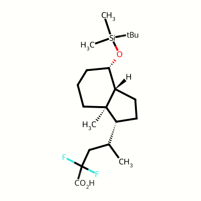 CC(CC(F)(F)C(=O)O)[C@H]1CC[C@H]2[C@@H](O[Si](C)(C)C(C)(C)C)CCC[C@]12C